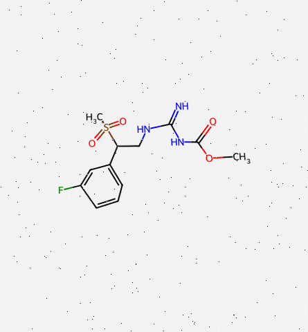 COC(=O)NC(=N)NCC(c1cccc(F)c1)S(C)(=O)=O